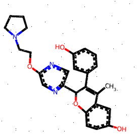 CC1=C(c2cccc(O)c2)C(c2cnc(OCCN3CCCC3)cn2)Oc2ccc(O)cc21